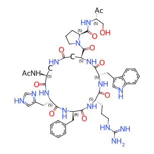 CC(=O)N[C@H]1CNC(=O)C[C@@H](C(=O)N2CCC[C@H]2C(=O)N[C@@H](CO)C(C)=O)NC(=O)[C@H](Cc2c[nH]c3ccccc23)NC(=O)[C@H](CCCNC(=N)N)NC(=O)[C@@H](Cc2ccccc2)NC(=O)[C@H](Cc2c[nH]cn2)NC1=O